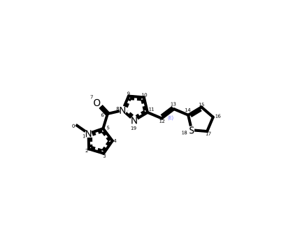 Cn1cccc1C(=O)n1ccc(/C=C/C2=CCCS2)n1